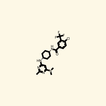 Cc1nc(N[C@H]2CC[C@@H](NC(=O)c3ccc(Cl)c(C(F)(F)F)c3)CC2)cc(N(C)C)n1